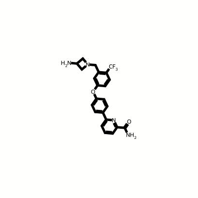 NC(=O)c1cccc(-c2ccc(Oc3ccc(C(F)(F)F)c(CN4CC(N)C4)c3)cc2)n1